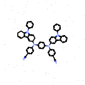 N#Cc1ccc(N(c2ccc(N(c3ccc(C#N)cc3)C3C=c4c5c(n(-c6ccccc6)c4=CC3)CCC=C5)cc2)c2ccc3c(c2)c2ccccc2n3-c2ccccc2)cc1